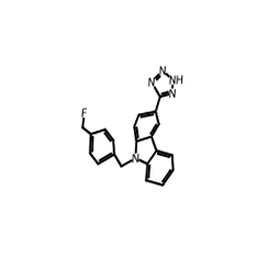 FCc1ccc(Cn2c3ccccc3c3cc(-c4nn[nH]n4)ccc32)cc1